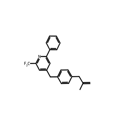 C=C(C)Cc1ccc(Cc2cc(-c3ccccc3)nc(C(F)(F)F)c2)cc1